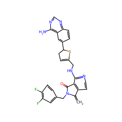 C=C1c2ccnc(NCC3=CCC(c4ccc5ncnc(N)c5c4)S3)c2C(=O)N1Cc1ccc(F)c(F)c1